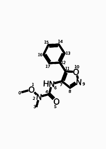 CON(C)C(=O)Nc1cnoc1-c1ccccc1